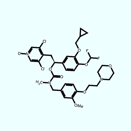 COc1cc(CN(C)C(=O)O[C@@H](Cc2c(Cl)c[n+]([O-])cc2Cl)c2ccc(OC(F)F)c(OCC3CC3)c2)ccc1OCCN1CCOCC1